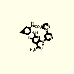 NC(=O)c1cc(F)c(N[C@@H]2CC3CC3C[C@H]2NC(=O)O)nc1Nc1cncc(-n2cccn2)c1